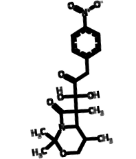 CC1COC(C)(C)N2C(=O)C(C)(C(O)(O)C(=O)Cc3ccc([N+](=O)[O-])cc3)C12